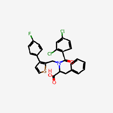 O=C(O)C(Cc1ccccc1)N(Cc1sccc1-c1ccc(F)cc1)C(=O)c1ccc(Cl)cc1Cl